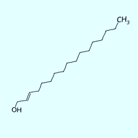 CCCCCCCCCCCCCCC=CCO